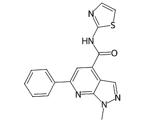 Cn1ncc2c(C(=O)Nc3nccs3)cc(-c3ccccc3)nc21